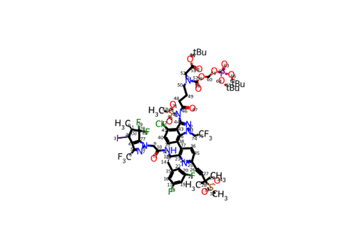 C[C@@H]1[C@H](I)c2c(C(F)(F)F)nn(CC(=O)N[C@@H](Cc3cc(F)cc(F)c3)c3nc(C#CC(C)(C)S(C)(=O)=O)ccc3-c3ccc(Cl)c4c(N(C(=O)CCCN(CC(=O)OC(C)(C)C)C(=O)OCOP(=O)(OC(C)(C)C)OC(C)(C)C)S(C)(=O)=O)nn(CC(F)(F)F)c34)c2C1(F)F